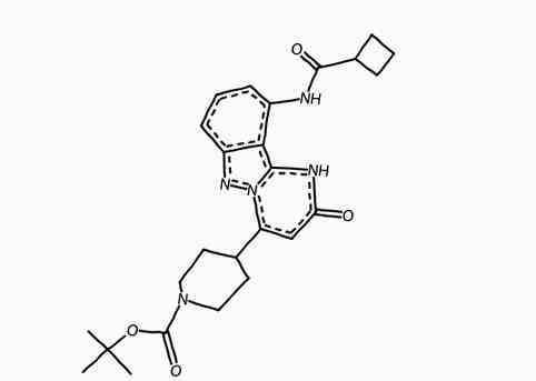 CC(C)(C)OC(=O)N1CCC(c2cc(=O)[nH]c3c4c(NC(=O)C5CCC5)cccc4nn23)CC1